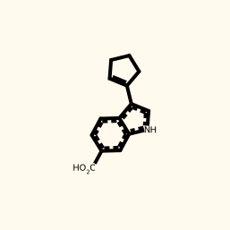 O=C(O)c1ccc2c(C3=CCCC3)c[nH]c2c1